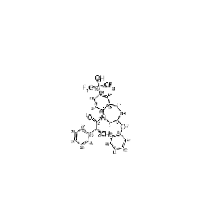 C[C@H](C(=O)N1C[C@H](Oc2ccccc2)CCc2cc(C(O)(C(F)(F)F)C(F)(F)F)ccc21)c1ccccc1